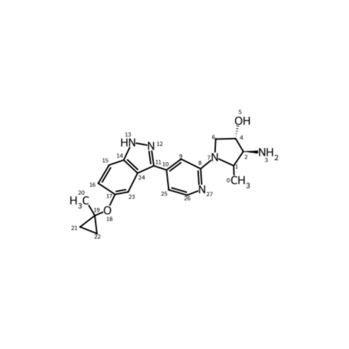 CC1[C@H](N)[C@@H](O)CN1c1cc(-c2n[nH]c3ccc(OC4(C)CC4)cc23)ccn1